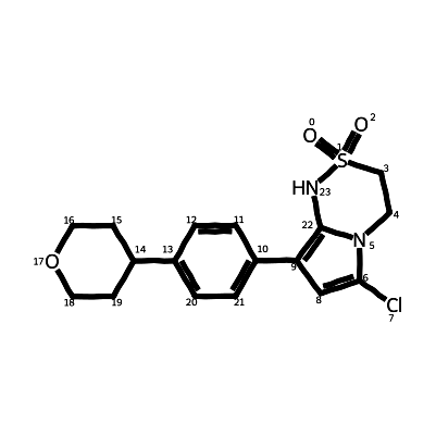 O=S1(=O)CCn2c(Cl)cc(-c3ccc(C4CCOCC4)cc3)c2N1